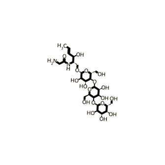 C/C=C/[C@@H](O)[C@H](CO[C@@H]1O[C@H](CO)[C@@H](O[C@@H]2O[C@H](CO)[C@H](O[C@H]3O[C@H](CO)[C@H](O)[C@H](O)[C@H]3O)[C@H](O)[C@H]2O)[C@H](O)[C@H]1O)NC(=O)CN